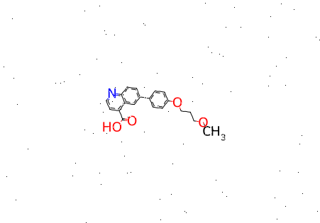 COCCCOc1ccc(-c2ccc3nccc(C(=O)O)c3c2)cc1